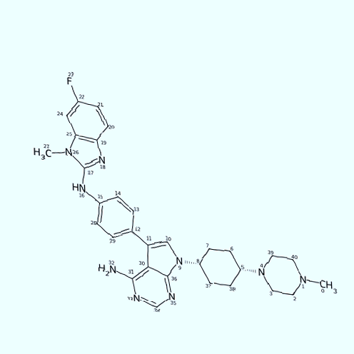 CN1CCN([C@H]2CC[C@@H](n3cc(-c4ccc(Nc5nc6ccc(F)cc6n5C)cc4)c4c(N)ncnc43)CC2)CC1